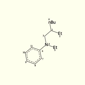 CCCCC(CC)CN(CC)c1ccccc1